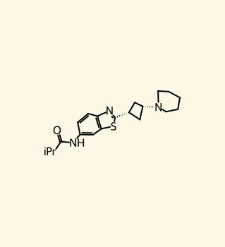 CC(C)C(=O)Nc1ccc2nc([C@H]3C[C@@H](N4CCCCC4)C3)sc2c1